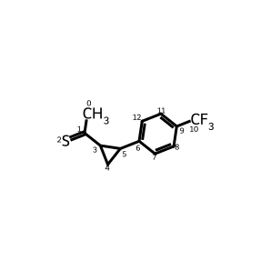 CC(=S)C1CC1c1ccc(C(F)(F)F)cc1